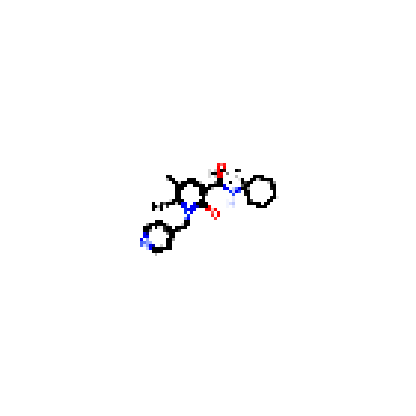 CCc1c(C)cc(C(=O)NC2(C(=O)O)CCCCC2)c(=O)n1Cc1ccncc1